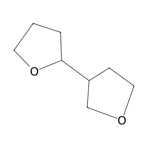 C1COC(C2CCOC2)C1